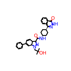 CC(C)(O)CN1N=C(C(=O)N[C@H]2CC[C@H](c3n[nH]c(=O)c4ccccc43)CC2)C2C=CC(c3ccccc3)=CC21